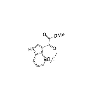 CC(=O)O.COC(=O)C(=O)c1c[nH]c2ccccc12